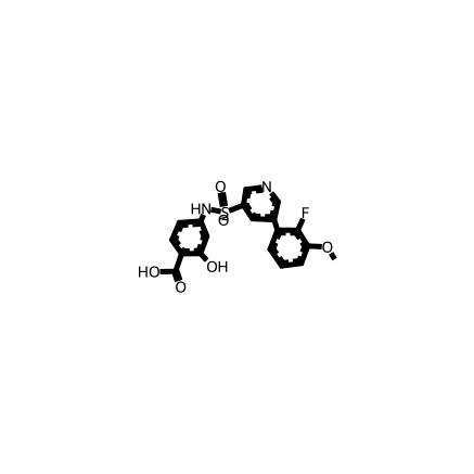 COc1cccc(-c2cncc(S(=O)(=O)Nc3ccc(C(=O)O)c(O)c3)c2)c1F